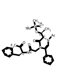 CC(=O)N1C=C(c2ccccc2)N(CC(=O)N[C@@H](Cc2ccccc2)C(=O)C(F)(F)F)C(=O)[C@@H]1[C@H](C)O[Si](C)(C)C(C)(C)C